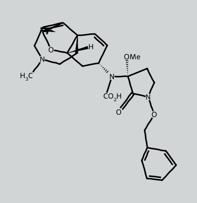 CO[C@]1(N(C(=O)O)[C@H]2C=C[C@@]34CCN(C)Cc5cccc(c53)O[C@H]4C2)CCN(OCc2ccccc2)C1=O